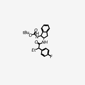 CCC(C(=O)N[C@H]1Cc2ccccc2C1NC(=O)OC(C)(C)C)c1ccc(F)cc1